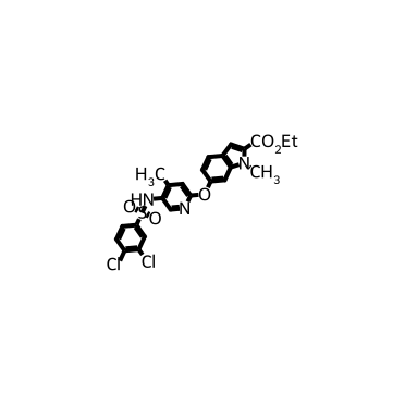 CCOC(=O)c1cc2ccc(Oc3cc(C)c(NS(=O)(=O)c4ccc(Cl)c(Cl)c4)cn3)cc2n1C